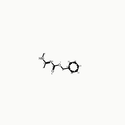 CN/C(C)=N/C(=O)OCc1ccccc1